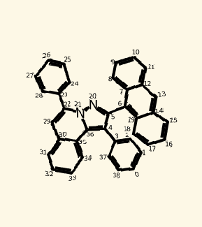 c1ccc(-c2c(-c3c4ccccc4cc4ccccc34)nn3c(-c4ccccc4)cc4ccccc4c23)cc1